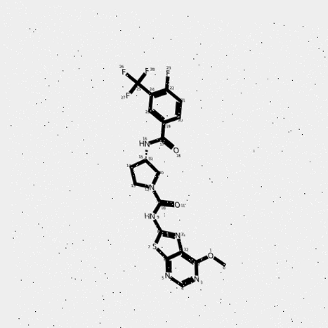 COc1ncnc2sc(NC(=O)N3CC[C@H](NC(=O)c4ccc(F)c(C(F)(F)F)c4)C3)nc12